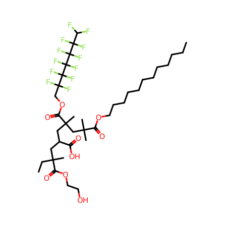 CCCCCCCCCCCCOC(=O)C(C)(C)CC(C)(CC(CC(C)(CC)C(=O)OCCO)C(=O)O)C(=O)OCC(F)(F)C(F)(F)C(F)(F)C(F)(F)C(F)(F)C(F)F